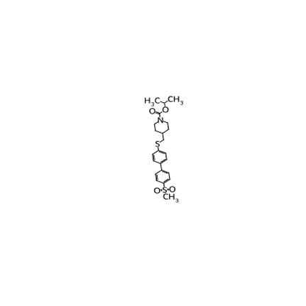 CC(C)OC(=O)N1CCC(CSc2ccc(-c3ccc(S(C)(=O)=O)cc3)cc2)CC1